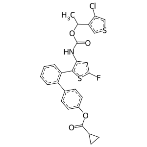 CC(OC(=O)Nc1cc(F)sc1-c1ccccc1-c1ccc(OC(=O)C2CC2)cc1)c1cscc1Cl